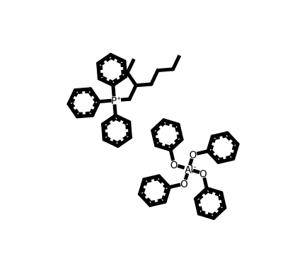 CCCCC(CC)C[P+](c1ccccc1)(c1ccccc1)c1ccccc1.c1ccc([O][Al-]([O]c2ccccc2)([O]c2ccccc2)[O]c2ccccc2)cc1